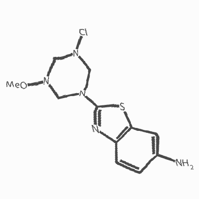 CON1CN(Cl)CN(c2nc3ccc(N)cc3s2)C1